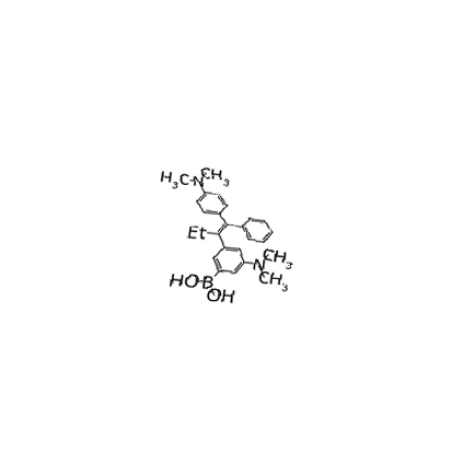 CC/C(=C(/c1ccccc1)c1ccc(N(C)C)cc1)c1cc(B(O)O)cc(N(C)C)c1